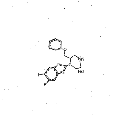 Cl.Fc1cc2nc(N3CCNCC3COc3cccnc3)sc2cc1F